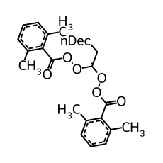 [CH2]CCCCCCCCCC[C](OOC(=O)c1c(C)cccc1C)OOC(=O)c1c(C)cccc1C